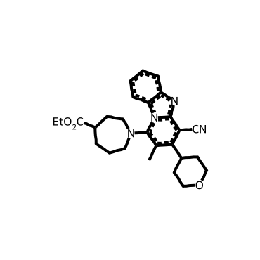 CCOC(=O)C1CCCN(c2c(C)c(C3CCOCC3)c(C#N)c3nc4ccccc4n23)CC1